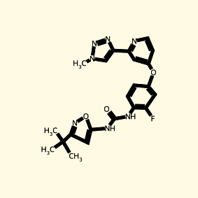 Cn1cc(-c2cc(Oc3ccc(NC(=O)Nc4cc(C(C)(C)C)no4)c(F)c3)ccn2)nn1